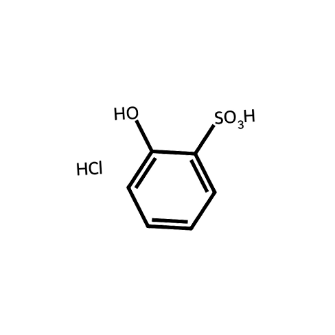 Cl.O=S(=O)(O)c1ccccc1O